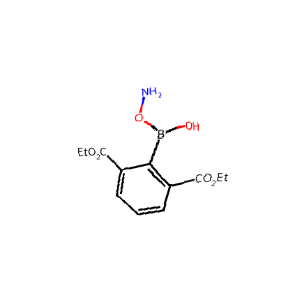 CCOC(=O)c1cccc(C(=O)OCC)c1B(O)ON